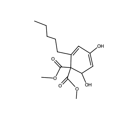 CCCCCC1=CC(O)=CC(O)C1(C(=O)OC)C(=O)OC